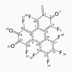 C=C1C(=O)C(F)=c2c(c3c(c4c(F)c(F)c(F)c(F)c24)=C(F)C(=O)C(=O)C=3F)=C1F